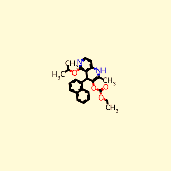 CCOC(=O)OC1=C(C)Nc2ccnc(OC(C)C)c2C1c1cccc2ccccc12